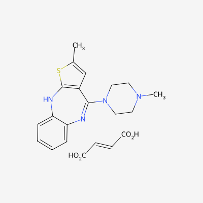 Cc1cc2c(s1)Nc1ccccc1N=C2N1CCN(C)CC1.O=C(O)C=CC(=O)O